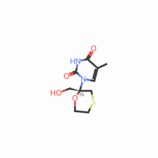 Cc1cn([C@]2(CO)CSCCO2)c(=O)[nH]c1=O